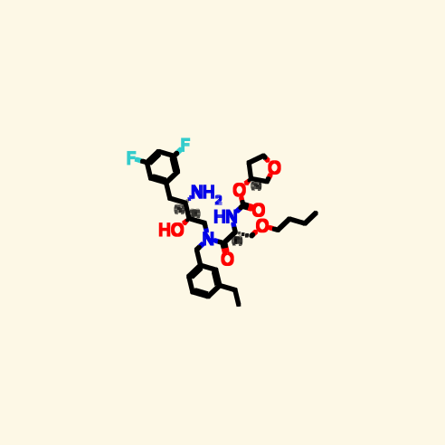 CCCCOC[C@@H](NC(=O)O[C@H]1CCOC1)C(=O)N(Cc1cccc(CC)c1)C[C@@H](O)[C@@H](N)Cc1cc(F)cc(F)c1